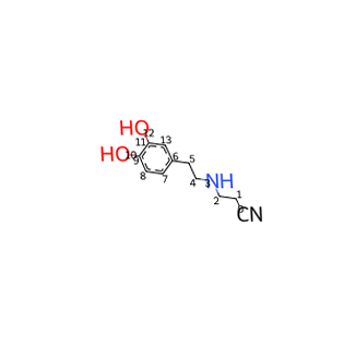 N#CCCNCCc1ccc(O)c(O)c1